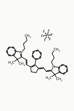 CCCCN1C(=CC=C2CCC(C=CC3=[N+](CCCC)c4ccccc4C3(C)C)=C2c2ccccc2)C(C)(C)c2ccccc21.F[P-](F)(F)(F)(F)F